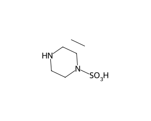 CC.O=S(=O)(O)N1CCNCC1